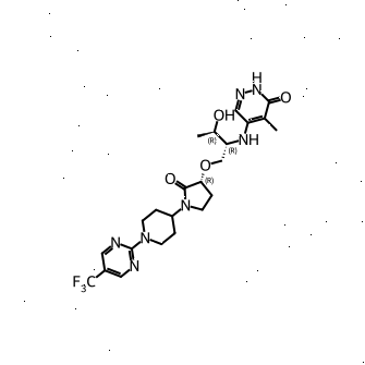 Cc1c(N[C@H](CO[C@@H]2CCN(C3CCN(c4ncc(C(F)(F)F)cn4)CC3)C2=O)[C@@H](C)O)cn[nH]c1=O